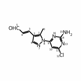 Cc1c(C=CC=O)cnn1-c1cc(Cl)nc(N)n1